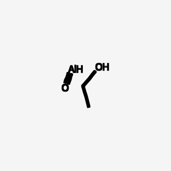 CCO.[O]=[AlH]